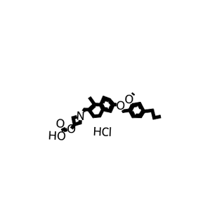 CCCc1ccc(COc2ccc3c(c2)CCC(CN2CC(OC(=O)O)C2)=C3C)c(OC)c1.Cl